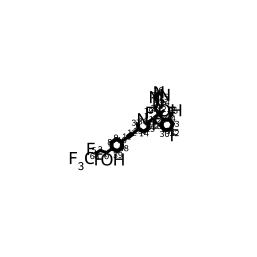 OC(CC(F)(F)C(F)(F)F)c1ccc(C#Cc2ccc(C(F)(F)C(O)(Cn3cnnn3)c3ccc(F)cc3F)nc2)cc1